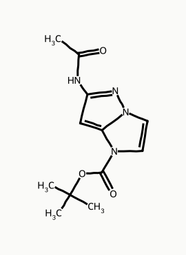 CC(=O)Nc1cc2n(C(=O)OC(C)(C)C)ccn2n1